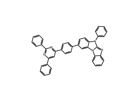 c1ccc(-c2cc(-c3ccc(-c4ccc5c(c4)n4c6ccccc6nc4n5-c4ccccc4)cc3)nc(-c3ccccc3)n2)cc1